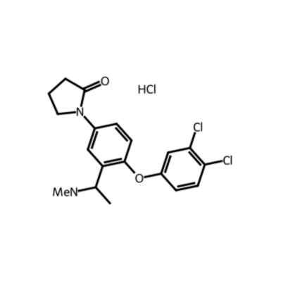 CNC(C)c1cc(N2CCCC2=O)ccc1Oc1ccc(Cl)c(Cl)c1.Cl